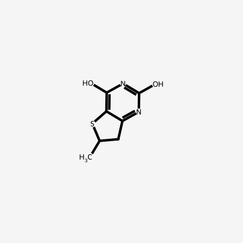 CC1Cc2nc(O)nc(O)c2S1